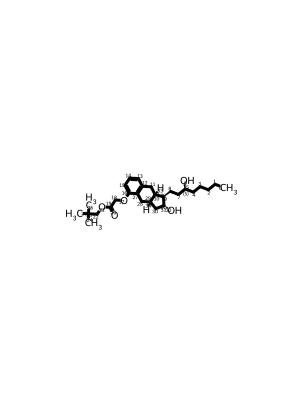 CCCCC[C@H](O)CC[C@@H]1[C@H]2Cc3cccc(OCC(=O)OCC(C)(C)C)c3C[C@H]2C[C@H]1O